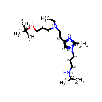 CCN(CCCOC(C)(C)C)CCc1cn(CCCNC(C)C)c(C)n1